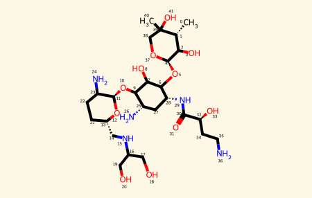 C[C@@H]1C(O)[C@@H](OC2C(O)C(O[C@H]3O[C@H](CNC(CO)CO)CCC3N)[C@@H](N)C[C@H]2NC(=O)[C@@H](O)CCN)OCC1(C)O